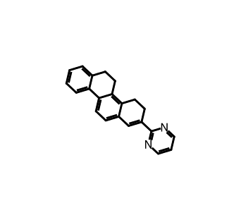 C1=C(c2ncccn2)CCc2c1ccc1c2CCc2ccccc2-1